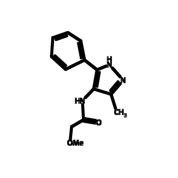 COCC(=O)Nc1c(C)n[nH]c1-c1ccccc1